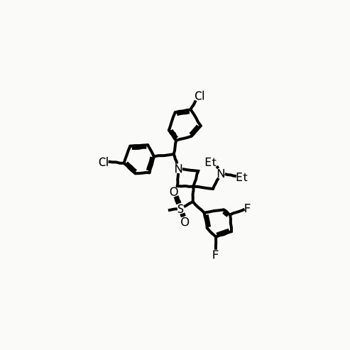 CCN(CC)CC1(C(c2cc(F)cc(F)c2)S(C)(=O)=O)CN(C(c2ccc(Cl)cc2)c2ccc(Cl)cc2)C1